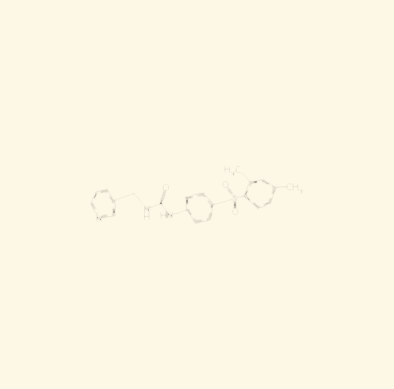 Cc1ccc(S(=O)(=O)c2ccc(NC(=O)NCc3cccnc3)cc2)c(C)c1